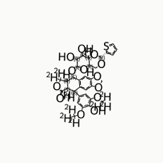 [2H]C([2H])([2H])Oc1cc([C@]2([2H])c3cc4c(cc3[C@@H](O[C@@H]3O[C@@H]5CO[C@@H](c6cccs6)O[C@H]5[C@H](O)[C@H]3O)[C@H]3C([2H])([2H])OC(=O)[C@@]32[2H])OCO4)cc(OC([2H])([2H])[2H])c1O